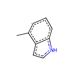 Cc1[c]ccc2[nH]ccc12